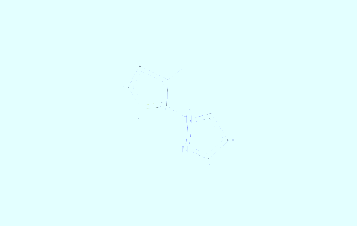 Cc1ccsc1-n1cccn1